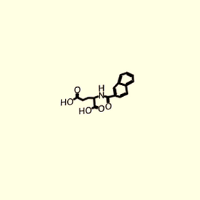 O=C(O)CCC(NC(=O)c1ccc2ccccc2c1)C(=O)O